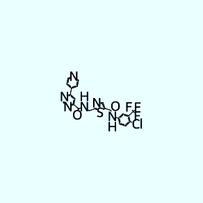 O=C(NCc1ncc(C(=O)Nc2ccc(Cl)c(C(F)(F)F)c2)s1)c1cc(-c2ccncc2)ncn1